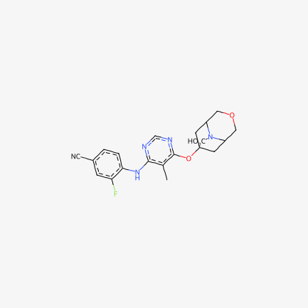 Cc1c(Nc2ccc(C#N)cc2F)ncnc1OC1CC2COCC(C1)N2C(=O)O